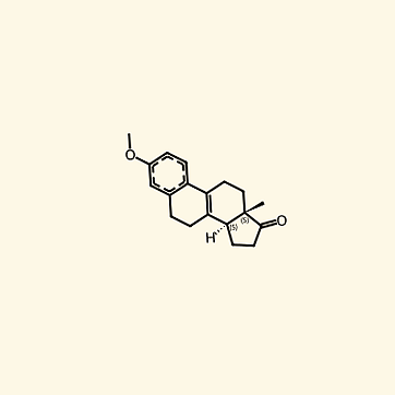 COc1ccc2c(c1)CCC1=C2CC[C@]2(C)C(=O)CC[C@@H]12